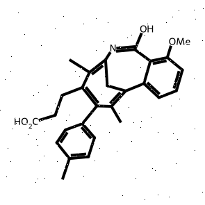 COc1cccc2c1C(O)=NC1=C(C)C(CCC(=O)O)=C(c3ccc(C)cc3)C(C)=C2C1